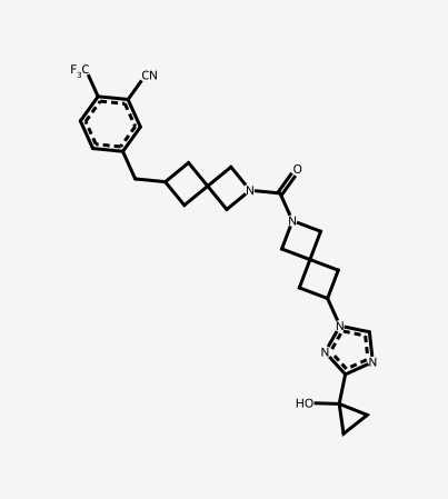 N#Cc1cc(CC2CC3(C2)CN(C(=O)N2CC4(CC(n5cnc(C6(O)CC6)n5)C4)C2)C3)ccc1C(F)(F)F